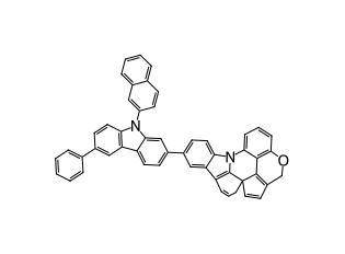 C1=Cc2c3n(c4ccc(-c5ccc6c7cc(-c8ccccc8)ccc7n(-c7ccc8ccccc8c7)c6c5)cc24)-c2cccc4c2C2=C(C=CC23C1)CO4